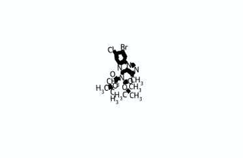 Cc1ncn2c1c(N(C(=O)OC(C)(C)C)C(=O)OC(C)(C)C)nc1cc(Cl)c(Br)cc12